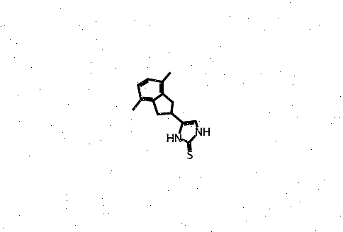 Cc1ccc(C)c2c1CC(c1c[nH]c(=S)[nH]1)C2